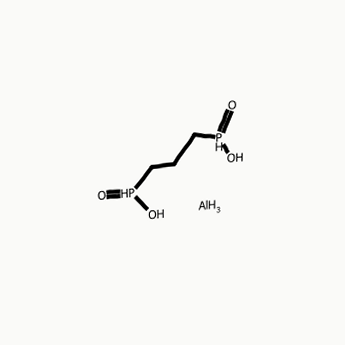 O=[PH](O)CCC[PH](=O)O.[AlH3]